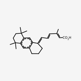 CC(C=CC=C1CCCc2cc3c(cc21)C(C)(C)CCC3(C)C)=CC(=O)O